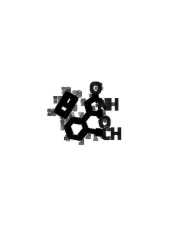 C#Cc1ccccc1C1=CC(=O)NC1=O.c1cc2ccc1-2